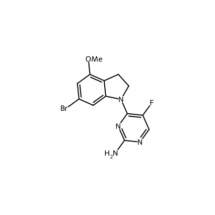 COc1cc(Br)cc2c1CCN2c1nc(N)ncc1F